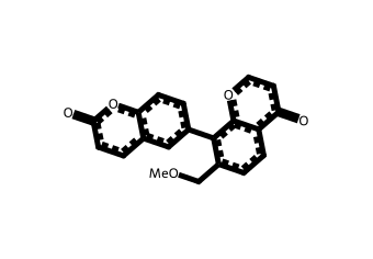 COCc1ccc2c(=O)ccoc2c1-c1ccc2oc(=O)ccc2c1